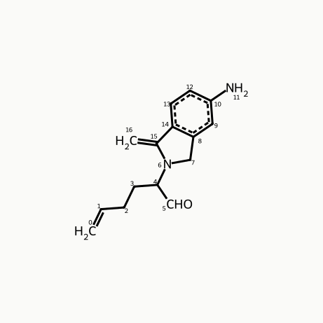 C=CCCC(C=O)N1Cc2cc(N)ccc2C1=C